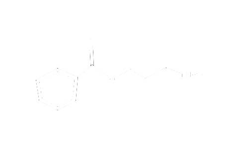 CCCCCCCCCCOC(=S)c1ccccc1